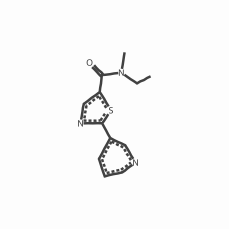 CCN(C)C(=O)c1cnc(-c2cccnc2)s1